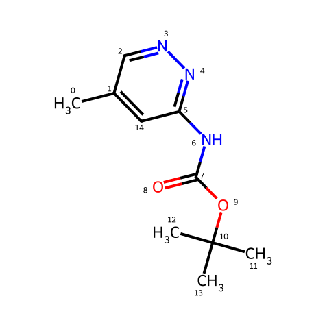 Cc1cnnc(NC(=O)OC(C)(C)C)c1